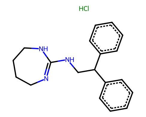 Cl.c1ccc(C(CNC2=NCCCCN2)c2ccccc2)cc1